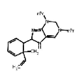 C=C[C@]1(C)C=CC=CC1C1N=C2C(=CN(CCC)CN2CCC)N1